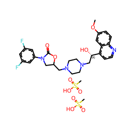 COc1ccc2nccc([C@@H](O)CN3CCN(CC4CN(c5cc(F)cc(F)c5)C(=O)O4)CC3)c2c1.CS(=O)(=O)O.CS(=O)(=O)O